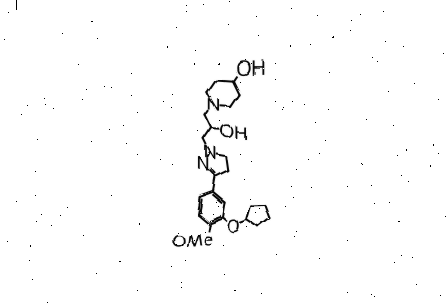 COc1ccc(C2=NN(CC(O)CN3CCC(O)CC3)CC2)cc1OC1CCCC1